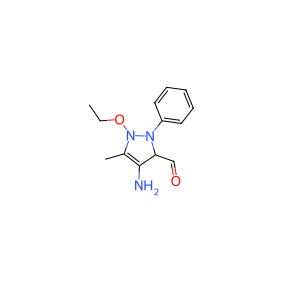 CCON1C(C)=C(N)C(C=O)N1c1ccccc1